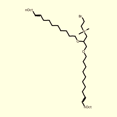 CCCCCCCCC=CCCCCCCCCOCC(C[N+](C)(C)CCBr)OCCCCCCCCC=CCCCCCCCC